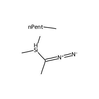 CC(=[N+]=[N-])[SiH](C)C.CCCCCC